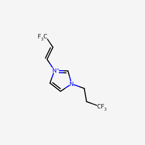 FC(F)(F)C=C[n+]1ccn(CCC(F)(F)F)c1